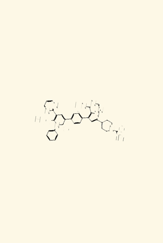 Cc1c(-c2ncccn2)cc(-c2ccc(-c3cc(C4CCN(C(=O)C(C)C)CC4)n4ncnc(N)c34)cc2)c(=O)n1-c1ccccc1